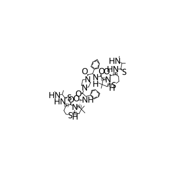 CNC(C)C(=S)N[C@H]1CCS[C@H]2CC(C)(C)[C@@H](C(=O)NC(C(=O)N3CCN(C(=O)C(NC(=O)[C@H]4N5C(=O)[C@@H](NC(=S)C(C)NC)CCS[C@H]5CC4(C)C)c4ccccc4)CC3)c3ccccc3)N2C1=O